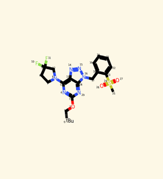 CC(C)(C)COc1nc(N2CCC(F)(F)C2)c2nnn(Cc3ccccc3S(C)(=O)=O)c2n1